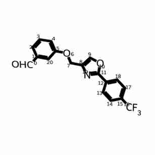 O=Cc1cccc(OCc2coc(-c3ccc(C(F)(F)F)cc3)n2)c1